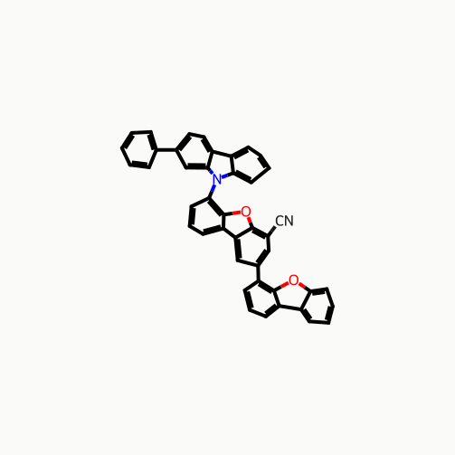 N#Cc1cc(-c2cccc3c2oc2ccccc23)cc2c1oc1c(-n3c4ccccc4c4ccc(-c5ccccc5)cc43)cccc12